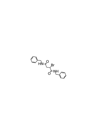 O=C(CC(Br)C(=O)NCc1ccccc1)NCc1ccccc1